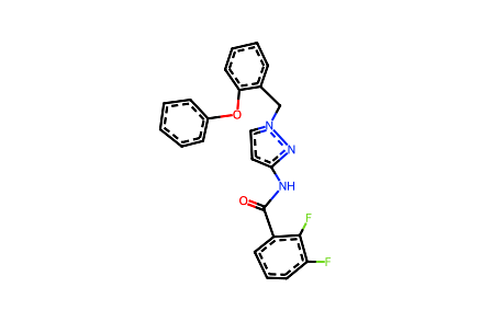 O=C(Nc1ccn(Cc2ccccc2Oc2ccccc2)n1)c1cccc(F)c1F